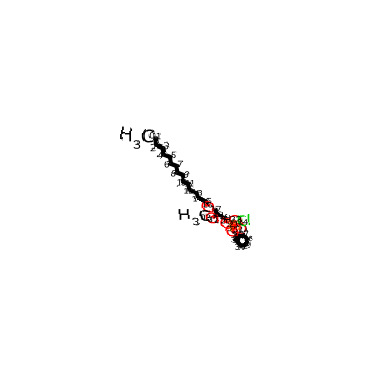 CCCCCCCCCCCCCCCCOCC(COP(=O)(OCl)Oc1ccccc1)OC